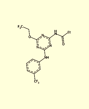 CCC(=O)Nc1nc(Nc2cccc(C(F)(F)F)c2)nc(OCC(F)(F)F)n1